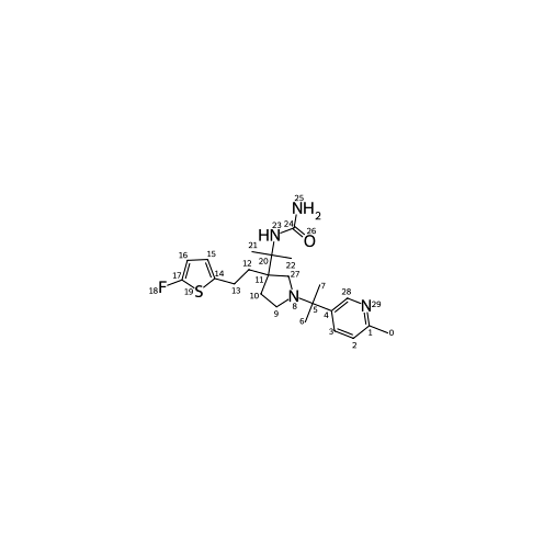 Cc1ccc(C(C)(C)N2CCC(CCc3ccc(F)s3)(C(C)(C)NC(N)=O)C2)cn1